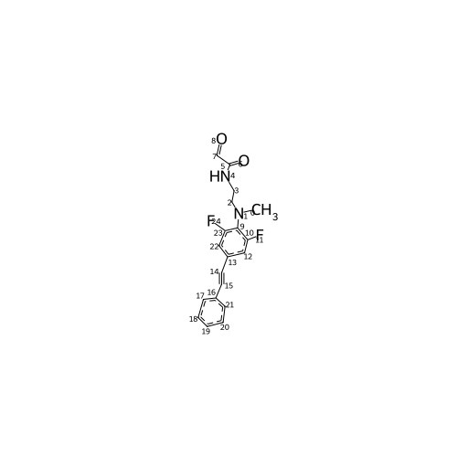 CN(CCNC(=O)C=O)c1c(F)cc(C#Cc2ccccc2)cc1F